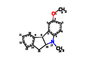 COc1ccc2c(c1)C1c3ccccc3CC1N2C